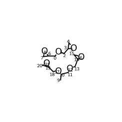 C(OCC1CO1)C1CO1.CC(COCC1CO1)OCC1CO1